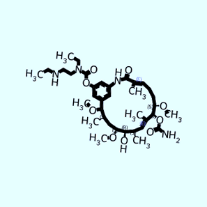 CCNCCN(CC)C(=O)Oc1cc2cc(c1)C(OC)[C@@H](C)C[C@H](OC)[C@H](O)[C@@H](C)/C=C(\C)[C@H](OC(N)=O)[C@@H](OC)CC/C=C(\C)C(=O)N2